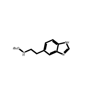 CC(C)CONCCc1ccc2[nH]cnc2c1